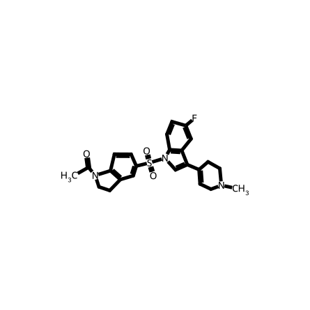 CC(=O)N1CCc2cc(S(=O)(=O)n3cc(C4=CCN(C)CC4)c4cc(F)ccc43)ccc21